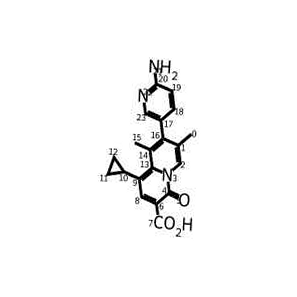 Cc1cn2c(=O)c(C(=O)O)cc(C3CC3)c2c(C)c1-c1ccc(N)nc1